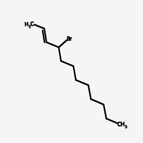 CC=CC(Br)CCCCCCCC